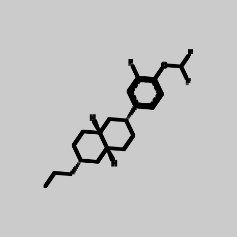 CCC[C@@H]1CC[C@@H]2C[C@H](c3ccc(OC(F)F)c(F)c3)CC[C@@H]2C1